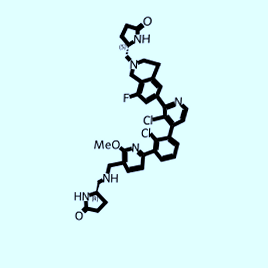 COc1nc(-c2cccc(-c3ccnc(-c4cc(F)c5c(c4)CCN(C[C@@H]4CCC(=O)N4)C5)c3Cl)c2Cl)ccc1CNC[C@H]1CCC(=O)N1